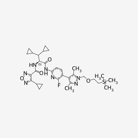 Cc1nn(COCC[Si](C)(C)C)c(C)c1-c1ccc(NC(=O)[C@@H](NC(=O)c2nonc2C2CC2)C(C2CC2)C2CC2)nc1F